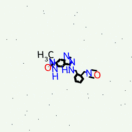 CCn1c(=O)[nH]c2cc3c(NCc4ccccc4CN4CCOCC4)ncnc3cc21